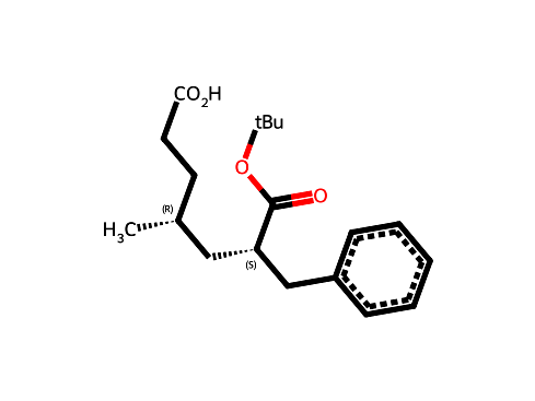 C[C@H](CCC(=O)O)C[C@@H](Cc1ccccc1)C(=O)OC(C)(C)C